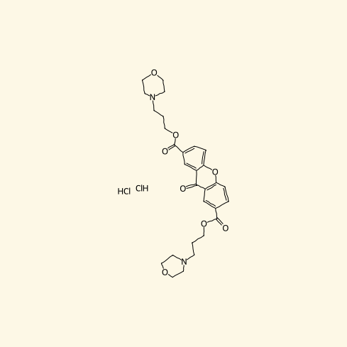 Cl.Cl.O=C(OCCCN1CCOCC1)c1ccc2oc3ccc(C(=O)OCCCN4CCOCC4)cc3c(=O)c2c1